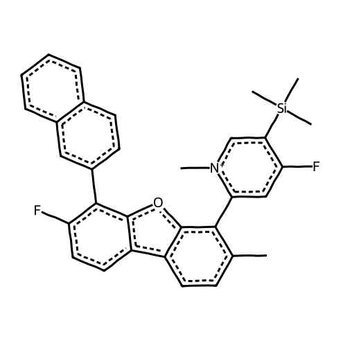 Cc1ccc2c(oc3c(-c4ccc5ccccc5c4)c(F)ccc32)c1-c1cc(F)c([Si](C)(C)C)c[n+]1C